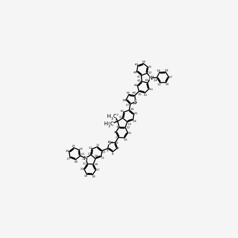 CC1(C)c2cc(-c3ccc(-c4ccc5c(c4)c4ccccc4n5-c4ccccc4)s3)ccc2-c2ccc(-c3ccc(-c4ccc5c(c4)c4ccccc4n5-c4ccccc4)s3)cc21